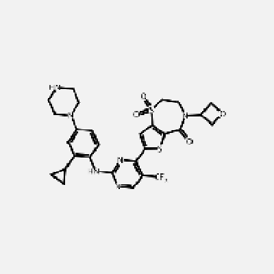 O=C1c2sc(-c3nc(Nc4ccc(N5CCNCC5)cc4C4CC4)ncc3C(F)(F)F)cc2S(=O)(=O)CCN1C1COC1